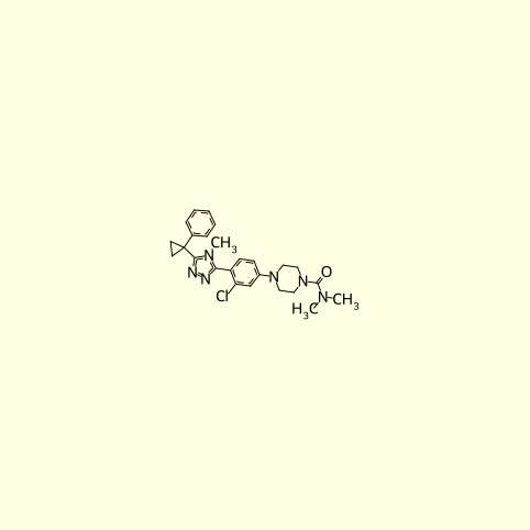 CN(C)C(=O)N1CCN(c2ccc(-c3nnc(C4(c5ccccc5)CC4)n3C)c(Cl)c2)CC1